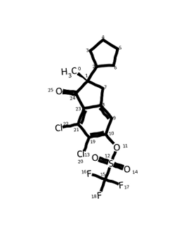 C[C@@]1(C2CCCC2)Cc2cc(OS(=O)(=O)C(F)(F)F)c(Cl)c(Cl)c2C1=O